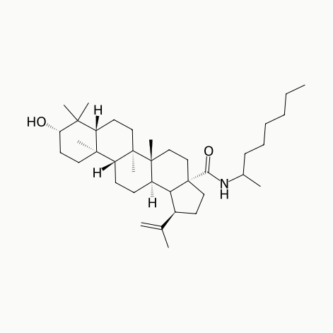 C=C(C)[C@@H]1CC[C@]2(C(=O)NC(C)CCCCCC)CC[C@]3(C)[C@H](CC[C@@H]4[C@@]5(C)CC[C@H](O)C(C)(C)[C@@H]5CC[C@]43C)C12